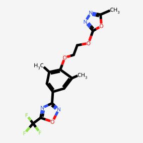 Cc1nnc(OCCOc2c(C)cc(-c3noc(C(F)(F)F)n3)cc2C)o1